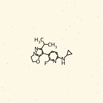 CC(C)c1nn2c(c1-c1ccc(NC3CC3)nc1F)OCC2